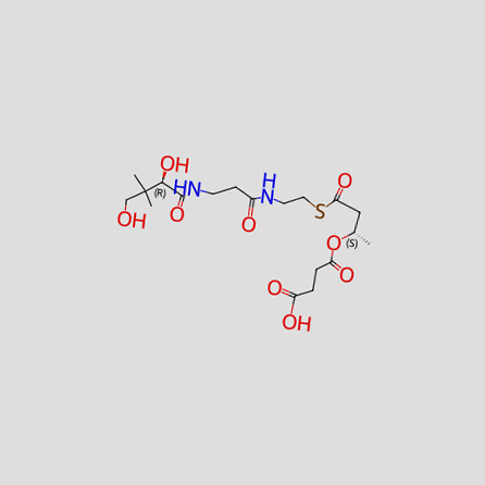 C[C@@H](CC(=O)SCCNC(=O)CCNC(=O)[C@H](O)C(C)(C)CO)OC(=O)CCC(=O)O